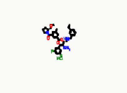 CCc1cccc(CNC[C@@H](OC(=O)c2cc(C)cc(C(=O)N3CCC[C@@H]3COC)c2)[C@@H](N)Cc2cc(F)cc(F)c2)c1.Cl